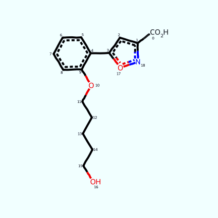 O=C(O)c1cc(-c2ccccc2OCCCCCO)on1